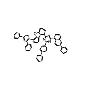 c1ccc(-c2ccc(-c3nc(-c4cccc5cc(-c6ccccc6)ccc45)nc(-c4cccc5oc6c(-c7ccc(-c8ccccc8)cc7-c7ccccc7)cccc6c45)n3)cc2)cc1